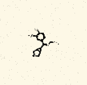 CC/N=C(\c1ccc(C)c(C)c1)C1C2CNCC21